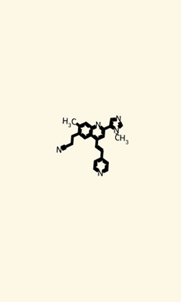 Cc1cc2nc(-c3cncn3C)cc(/C=C/c3ccncc3)c2cc1CCC#N